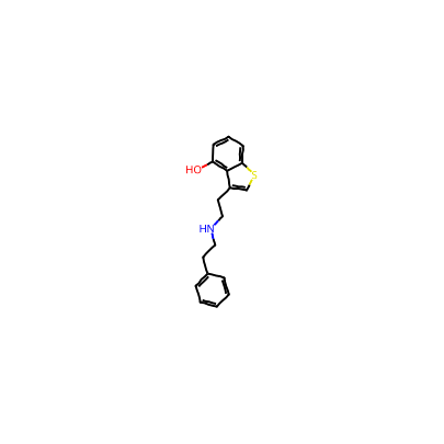 Oc1cccc2scc(CCNCCc3ccccc3)c12